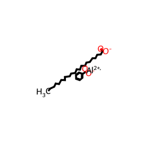 CCCCCCCCCCCCCCCCCCCCCC(=O)[O-].O=C([O-])c1ccccc1.[Al+2]